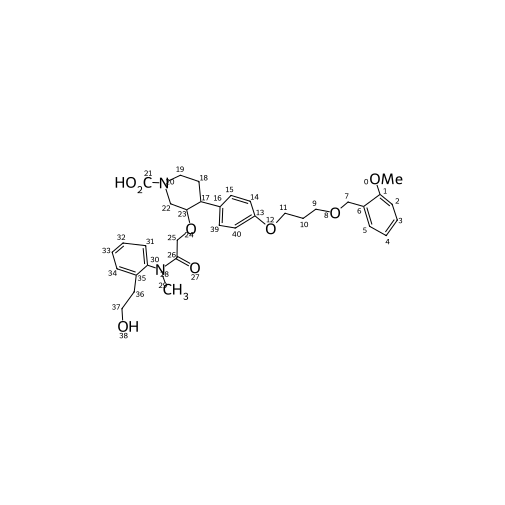 COc1ccccc1COCCCOc1ccc(C2CCN(C(=O)O)CC2OCC(=O)N(C)c2ccccc2CCO)cc1